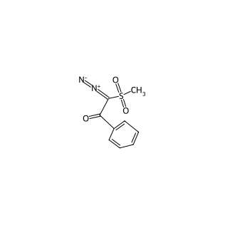 CS(=O)(=O)C(=[N+]=[N-])C(=O)c1ccccc1